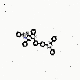 N=C1/C(=N\Nc2ccccc2)C(c2ccccc2)=Cc2c(-c3cccc(-c4ccc(-c5nc(-c6ccccc6)nc(-c6ccccc6)n5)cc4)c3)nc3ccccc3c21